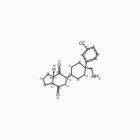 NC[C@]1(c2cccc(Cl)c2)CC[C@H](N2CC(=O)N3CCC[C@@H]3C2=O)CC1